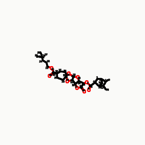 CC1C2CC(C(=O)OC3C(=O)OC4C5OC6(CCC(C(=O)OCCC[Si](C)(C)C)CC6)OC5OC34)C(C2)C1C